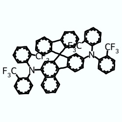 FC(F)(F)c1ccccc1N(c1ccc2c(c1)C1(c3ccccc3-c3ccccc31)c1cc(N(c3ccccc3C(F)(F)F)c3ccccc3C(F)(F)F)c3ccccc3c1-2)c1ccccc1C(F)(F)F